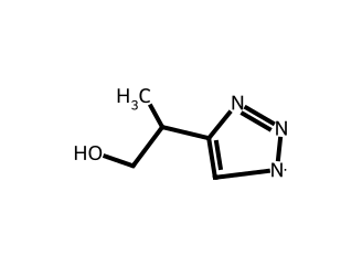 CC(CO)C1=C[N]N=N1